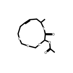 CC(=O)OC1CCCCCCC/C=C\CC(C)CC1=O